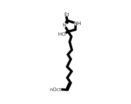 CCCCCCCC/C=C\CCCCCCCCC1(O)CNC(CC)=N1